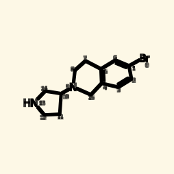 Brc1ccc2c(c1)CCN(C1CCNC1)C2